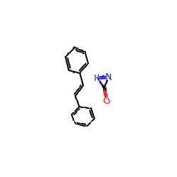 C(=Cc1ccccc1)c1ccccc1.O=c1nn1